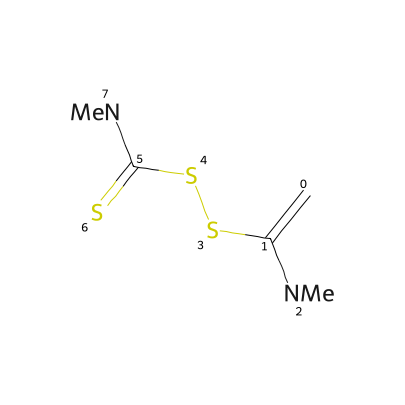 C=C(NC)SSC(=S)NC